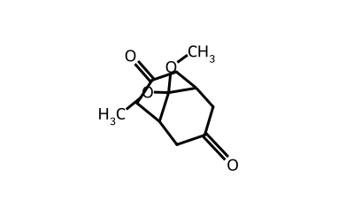 COC1(OC)C2CC(=O)CC1CC(=O)C2